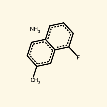 Cc1ccc2cccc(F)c2c1.N